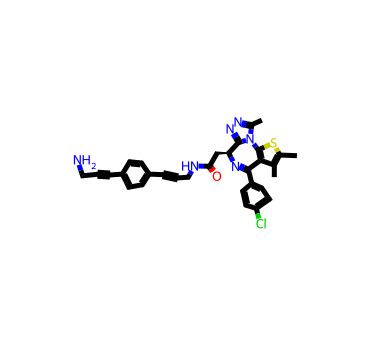 Cc1sc2c(c1C)C(c1ccc(Cl)cc1)=N[C@@H](CC(=O)NCC#Cc1ccc(C#CCN)cc1)c1nnc(C)n1-2